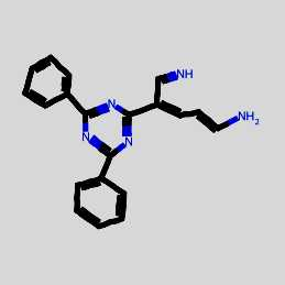 N=C/C(=C\C=C\N)c1nc(-c2ccccc2)nc(-c2ccccc2)n1